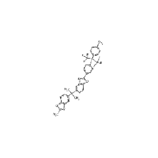 Cc1ccc(C(c2ccc(-c3nc4cc(C(C)(C)c5ccc6oc(C)nc6c5)ccc4o3)cc2)(C(F)(F)F)C(F)(F)F)cc1